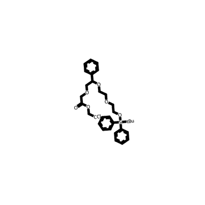 CC(C)(C)[Si](OCCOCCOC(COCC(=O)OCC(Cl)(Cl)Cl)c1ccccc1)(c1ccccc1)c1ccccc1